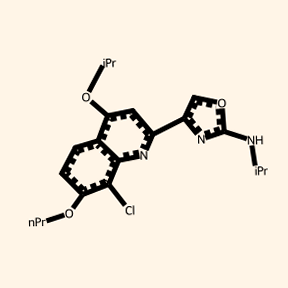 CCCOc1ccc2c(OC(C)C)cc(-c3coc(NC(C)C)n3)nc2c1Cl